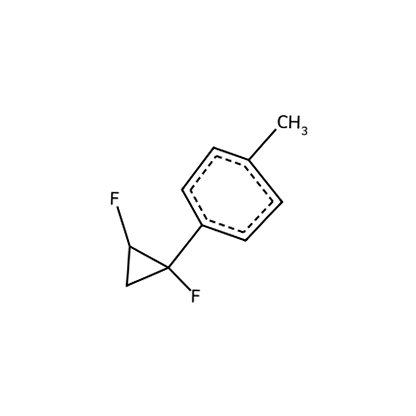 Cc1ccc(C2(F)CC2F)cc1